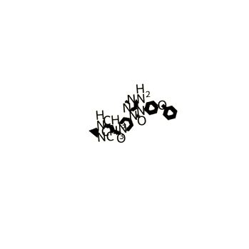 CC(C)(C=C(C#N)C(=O)N1CCC(n2c(=O)n(-c3ccc(Oc4ccccc4)cc3)c3c(N)ncnc32)CC1)NC1CC1